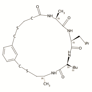 CC[C@H](C)[C@@H]1NC(=O)[C@H](CC(C)C)NC(=O)[C@H](C)NC(=O)CCSCc2cccc(c2)CSC[C@@H](C)NC1=O